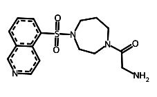 NCC(=O)N1CCCN(S(=O)(=O)c2cccc3cnccc23)CC1